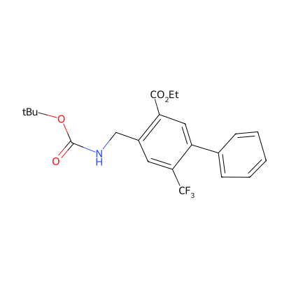 CCOC(=O)c1cc(-c2ccccc2)c(C(F)(F)F)cc1CNC(=O)OC(C)(C)C